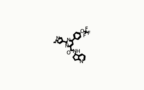 Cn1cc(-c2nc(C(=O)NC3CCc4ncccc43)cc(-c3ccc(OC(F)(F)F)cc3)n2)cn1